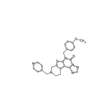 COc1ccc(Cn2c(=O)n3ncnc3c3c4c(sc32)CN(Cc2ccncc2)CC4)cc1